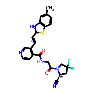 Cc1ccc2c(c1)NC(/C=C/c1cnccc1C(=O)NCC(=O)N1CC(F)(F)C[C@H]1C#N)S2